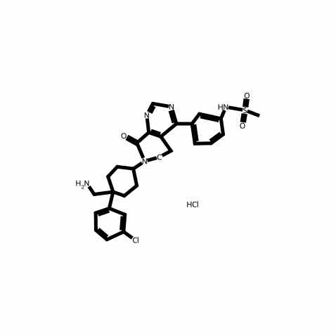 CS(=O)(=O)Nc1cccc(-c2ncnc3c2CCN(C2CCC(CN)(c4cccc(Cl)c4)CC2)C3=O)c1.Cl